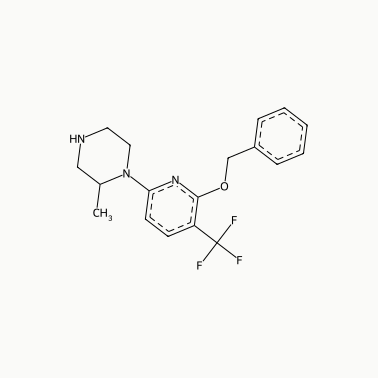 CC1CNCCN1c1ccc(C(F)(F)F)c(OCc2ccccc2)n1